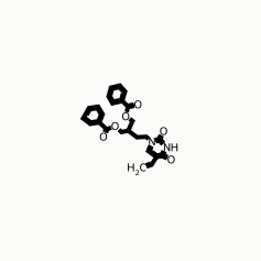 C=Cc1cn(CCC(COC(=O)c2ccccc2)COC(=O)c2ccccc2)c(=O)[nH]c1=O